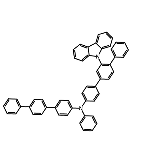 c1ccc(-c2ccc(-c3ccc(N(c4ccccc4)c4ccc(-c5ccc(-c6ccccc6)c(-n6c7ccccc7c7ccccc76)c5)cc4)cc3)cc2)cc1